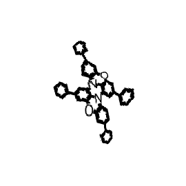 c1ccc(-c2ccc3c(c2)oc2cc(-c4ccccc4)cc4c2-n3c2cc(-c3ccccc3)cc3oc5cc(-c6ccccc6)ccc5n4-c32)cc1